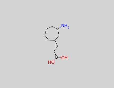 NC1CCCCC(CCB(O)O)C1